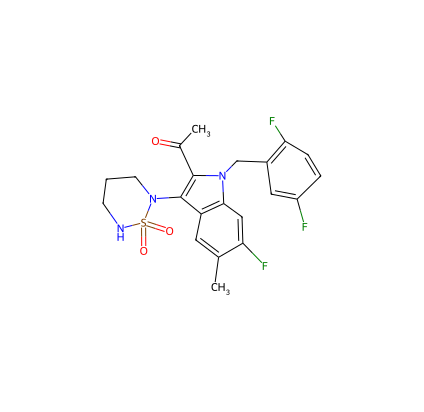 CC(=O)c1c(N2CCCNS2(=O)=O)c2cc(C)c(F)cc2n1Cc1cc(F)ccc1F